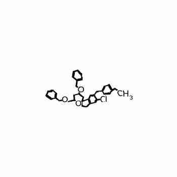 CCc1ccc(Cc2cc3c(cc2Cl)CC[C@@]32CC(OCc3ccccc3)CC(COCc3ccccc3)O2)cc1